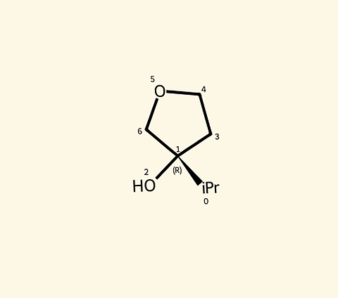 CC(C)[C@]1(O)CCOC1